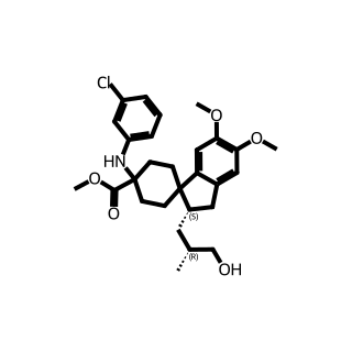 COC(=O)C1(Nc2cccc(Cl)c2)CCC2(CC1)c1cc(OC)c(OC)cc1C[C@@H]2C[C@@H](C)CO